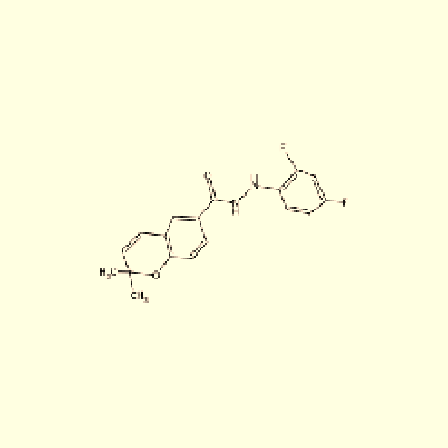 CC1(C)C=Cc2cc(C(=O)NNc3ccc(F)cc3F)ccc2O1